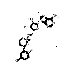 Nc1ncnc2c1ncn2[C@@H]1O[C@H](COP2(=S)OCCC(c3cc(Cl)ccc3F)O2)[C@H](O)[C@@H]1O